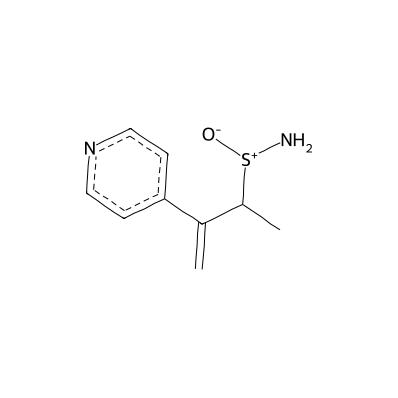 C=C(c1ccncc1)C(C)[S+](N)[O-]